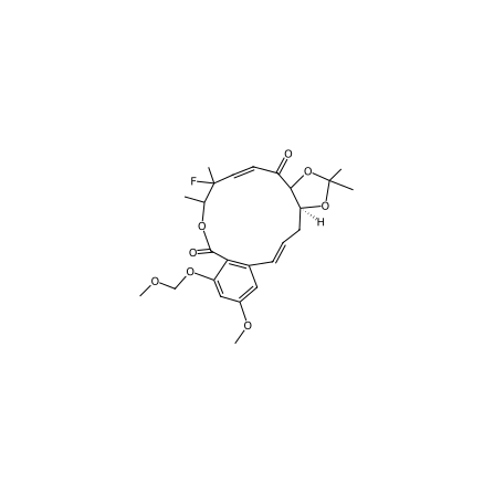 COCOc1cc(OC)cc2c1C(=O)OC(C)C(C)(F)/C=C\C(=O)C1OC(C)(C)O[C@H]1C/C=C/2